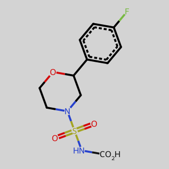 O=C(O)NS(=O)(=O)N1CCOC(c2ccc(F)cc2)C1